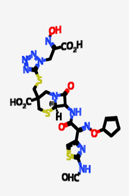 O=CNc1nc(C(=NOC2C=CCC2)C(=O)NC2C(=O)N3CC(CSc4nnnn4CC(=NO)C(=O)O)(C(=O)O)CS[C@H]23)cs1